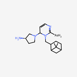 CC1(C)C2CCC(CN3C([AsH2])=NC=CC3N3CC[C@@H](N)C3)C1C2